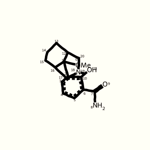 COC1(c2cccc(C(N)=O)c2O)C2CCCC1CN(C)C2